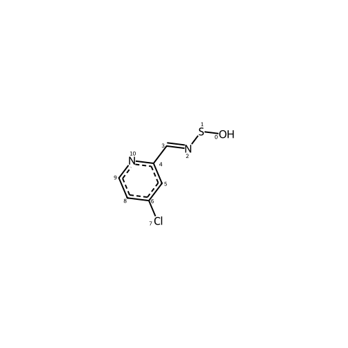 OS/N=C/c1cc(Cl)ccn1